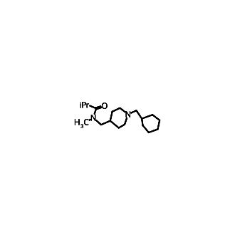 CC(C)C(=O)N(C)CC1CCN(CC2CCCCC2)CC1